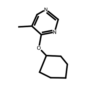 Cc1cncnc1OC1CCCCC1